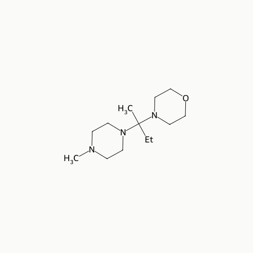 [CH2]CC(C)(N1CCOCC1)N1CCN(C)CC1